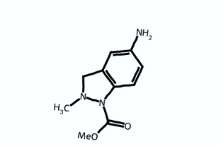 COC(=O)N1c2ccc(N)cc2CN1C